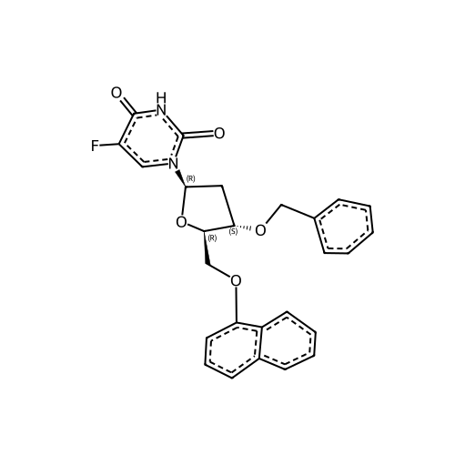 O=c1[nH]c(=O)n([C@H]2C[C@H](OCc3ccccc3)[C@@H](COc3cccc4ccccc34)O2)cc1F